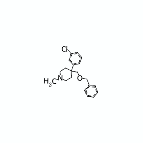 CN1CCC(COCc2ccccc2)(c2cccc(Cl)c2)CC1